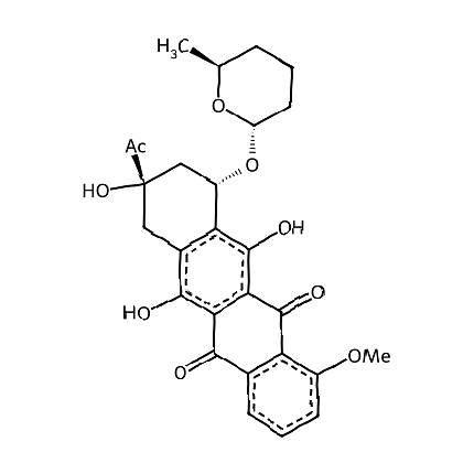 COc1cccc2c1C(=O)c1c(O)c3c(c(O)c1C2=O)C[C@@](O)(C(C)=O)C[C@@H]3O[C@H]1CCC[C@H](C)O1